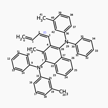 C=C/C=C\c1c(C)c(N(c2ccccc2)c2cccc(C)c2)c2ccccc2c1N(c1ccccc1)c1cccc(C)c1